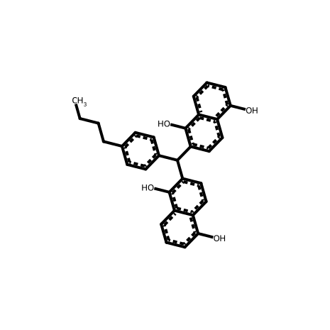 CCCCc1ccc(C(c2ccc3c(O)cccc3c2O)c2ccc3c(O)cccc3c2O)cc1